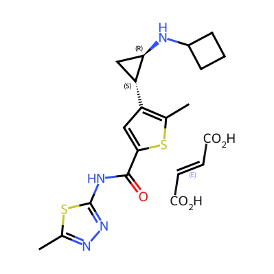 Cc1nnc(NC(=O)c2cc([C@@H]3C[C@H]3NC3CCC3)c(C)s2)s1.O=C(O)/C=C/C(=O)O